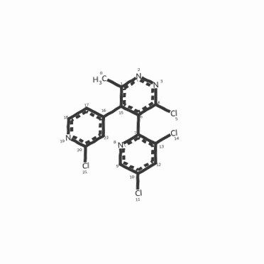 Cc1nnc(Cl)c(-c2ncc(Cl)cc2Cl)c1-c1ccnc(Cl)c1